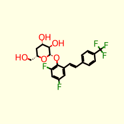 OC[C@@H]1C[C@H](O)[C@@H](O)[C@H](Oc2c(F)cc(F)cc2/C=C/c2ccc(C(F)(F)F)cc2)O1